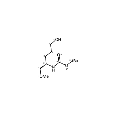 COC[C@@H](CCCO)NC(=O)OC(C)(C)C